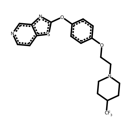 FC(F)(F)C1CCN(CCOc2ccc(Oc3nc4cnccc4s3)cc2)CC1